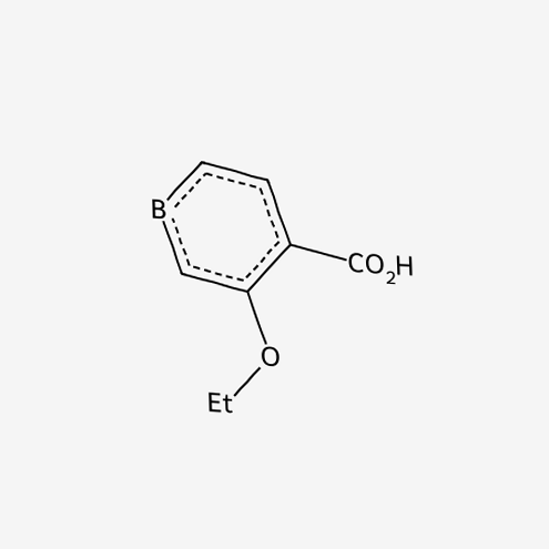 CCOc1cbccc1C(=O)O